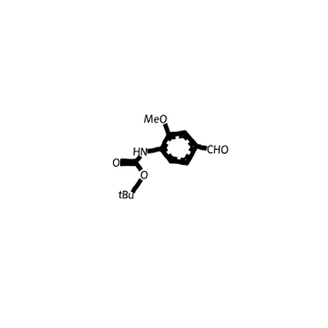 COc1cc(C=O)ccc1NC(=O)OC(C)(C)C